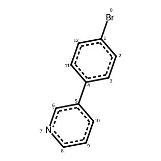 Brc1ccc(-c2[c]nccc2)cc1